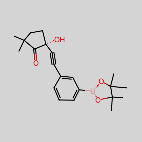 CC1(C)CC[C@@](O)(C#Cc2cccc(B3OC(C)(C)C(C)(C)O3)c2)C1=O